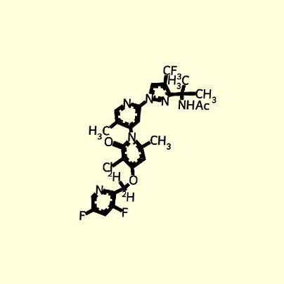 [2H]C([2H])(Oc1cc(C)n(-c2cc(-n3cc(C(F)(F)F)c(C(C)(C)NC(C)=O)n3)ncc2C)c(=O)c1Cl)c1ncc(F)cc1F